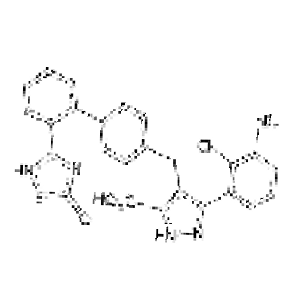 CCCCc1cccc(-c2n[nH]c(C(=O)O)c2Cc2ccc(-c3ccccc3-c3nc(=O)s[nH]3)cc2)c1Cl